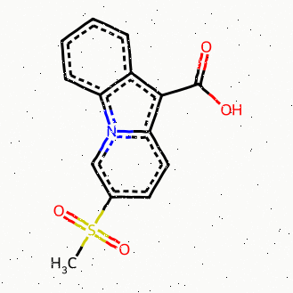 CS(=O)(=O)c1ccc2c(C(=O)O)c3ccccc3n2c1